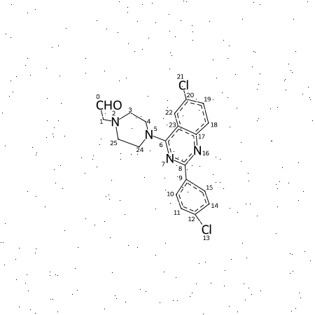 O=CCN1CCN(c2nc(-c3ccc(Cl)cc3)nc3ccc(Cl)cc23)CC1